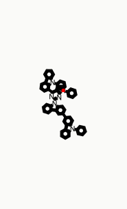 c1ccc(-n2ccc3c(-c4cccc5c6ccccc6n(-c6ccccc6)c45)nc(-n4c5ccccc5c5cc(-c6ccc7c(c6)c6ccccc6n7-c6ccccc6)ccc54)nc32)cc1